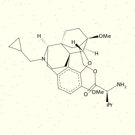 COc1ccc2c3c1O[C@H]1[C@@]4(OC)CC[C@@]5(C[C@@H]4COC(=O)[C@@H](N)C(C)C)[C@@H](C2)N(CC2CC2)CC[C@]315